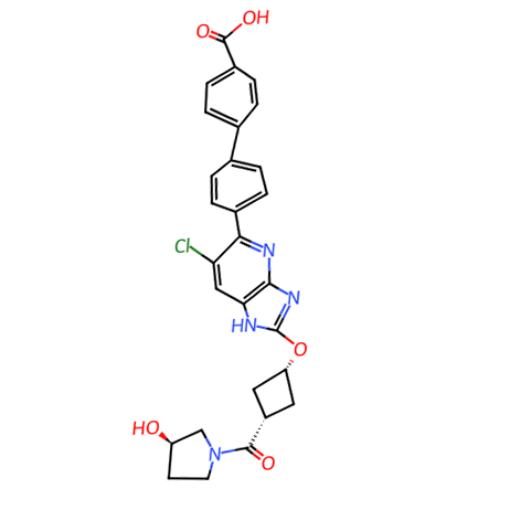 O=C(O)c1ccc(-c2ccc(-c3nc4nc(O[C@H]5C[C@@H](C(=O)N6CC[C@@H](O)C6)C5)[nH]c4cc3Cl)cc2)cc1